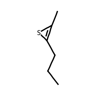 CCCC1=C(C)S1